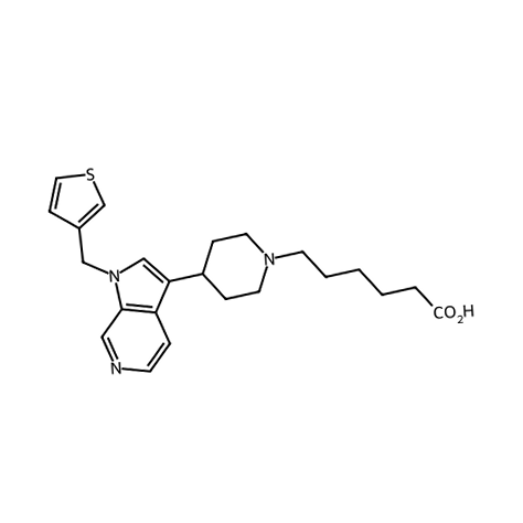 O=C(O)CCCCCN1CCC(c2cn(Cc3ccsc3)c3cnccc23)CC1